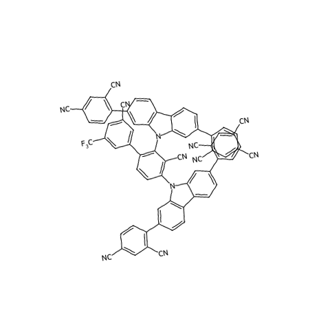 N#Cc1cc(-c2ccc(-n3c4cc(-c5ccc(C#N)cc5C#N)ccc4c4ccc(-c5ccc(C#N)cc5C#N)cc43)c(C#N)c2-n2c3cc(-c4ccc(C#N)cc4C#N)ccc3c3ccc(-c4ccc(C#N)cc4C#N)cc32)cc(C(F)(F)F)c1